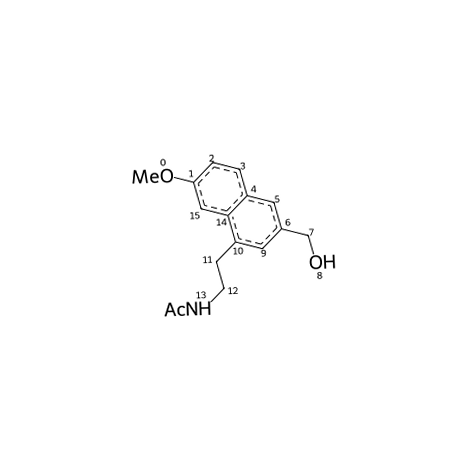 COc1ccc2cc(CO)cc(CCNC(C)=O)c2c1